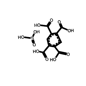 O=C(O)c1cc(C(=O)O)c(C(=O)O)cc1C(=O)O.[O]=[Ti]([OH])[OH]